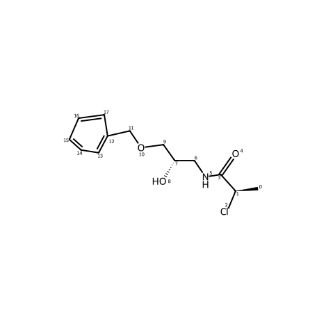 C[C@@H](Cl)C(=O)NC[C@H](O)COCc1ccccc1